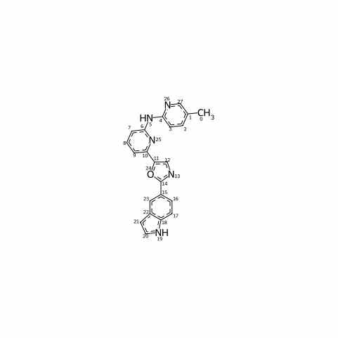 Cc1ccc(Nc2cccc(-c3cnc(-c4ccc5[nH]ccc5c4)o3)n2)nc1